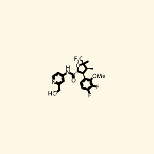 COc1c([C@H]2[C@H](C(=O)Nc3ccnc(CO)c3)O[C@@](C)(C(F)(F)F)[C@H]2C)ccc(F)c1F